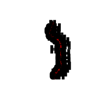 CC(=O)Nc1cc(C(=O)Nc2cc(C(=O)NCCC(=O)Nc3cc(C(=O)Nc4cn(C)c(C(=O)Nc5cc(C(=O)NCCCC(=O)Nc6cc(C(=O)Nc7cc(C(=O)Nc8cc(C(=O)NCCC(=O)Nc9cn(C)c(C(=O)Nc%10cn(C)c(C(=O)NCCC(=O)NCCCN(C)C)n%10)n9)n(C)c8)n(C)c7)n(C)c6)n(C)c5)n4)n(C)c3)n(C)c2)n(C)c1